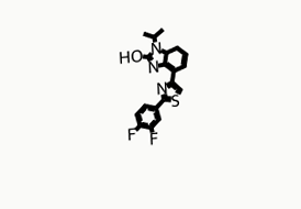 CC(C)N1C(O)=NC2=C(c3csc(-c4ccc(F)c(F)c4)n3)C=CCC21